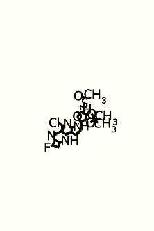 CC(=O)SC[C@H]1O[C@@H](n2ccc3c(NC4CC(F)C4)c(C#N)c(Cl)nc32)[C@@H]2OC(C)(C)O[C@@H]21